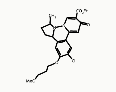 CCOC(=O)c1cn2c(cc1=O)-c1cc(Cl)c(OCCCOC)cc1C1CCC(C)N12